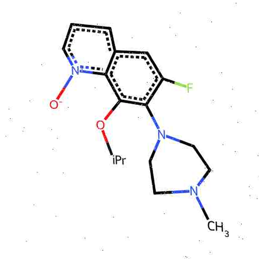 CC(C)Oc1c(N2CCN(C)CC2)c(F)cc2ccc[n+]([O-])c12